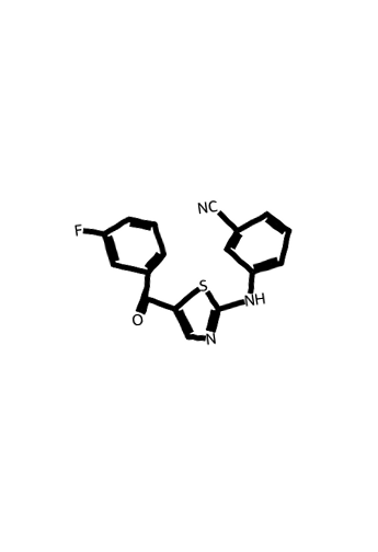 N#Cc1cccc(Nc2ncc(C(=O)c3cccc(F)c3)s2)c1